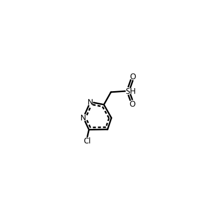 O=[SH](=O)Cc1ccc(Cl)nn1